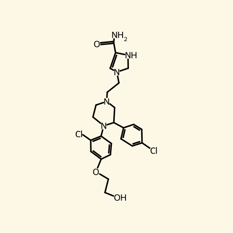 NC(=O)C1=CN(CCN2CCN(c3ccc(OCCO)cc3Cl)C(c3ccc(Cl)cc3)C2)CN1